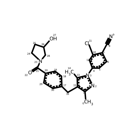 Cc1nn(-c2ccc(C#N)c(Cl)c2)c(C)c1Cc1ccc(C(=O)N2CCC(O)C2)cc1